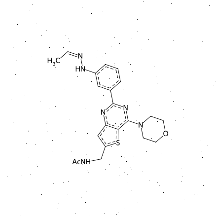 C/C=N\Nc1cccc(-c2nc(N3CCOCC3)c3sc(CNC(C)=O)cc3n2)c1